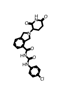 O=C1CCC(N2Cc3cccc(C(=O)NC(=O)Nc4ccc(Cl)cc4)c3C2)C(=O)N1